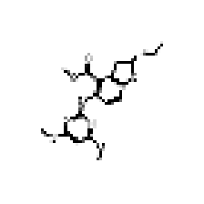 CCOC1Cc2c(ccc(Oc3nc(OC)cc(OC)n3)c2C(=O)OC)O1